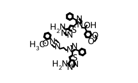 COc1ccccc1N1CCN(CCCn2cnc(-c3ccccc3)c2-c2cc3c(N)ncnc3s2)CC1.Nc1ncnc2sc(-c3c(-c4ccccc4)ncn3CC(O)c3ccc4c(c3)OCCO4)cc12